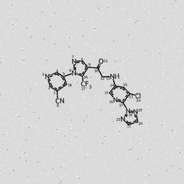 N#Cc1cncc(-n2ncc(C(=O)CNc3cnc(-n4nccn4)c(Cl)c3)c2C(F)(F)F)c1